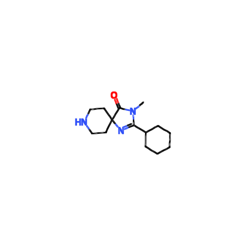 CN1C(=O)C2(CCNCC2)N=C1C1CCCCC1